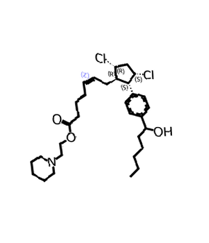 CCCCCC(O)c1ccc([C@@H]2[C@@H](C/C=C\CCCC(=O)OCCN3CCCCC3)[C@H](Cl)C[C@@H]2Cl)cc1